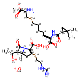 CC1(C)C[C@@H]1C(=O)N/C(=C\CCCCSC[C@H](N)C(=O)[O-])C(=O)O.C[C@@H](O)[C@H]1C(=O)N2C(C(=O)O)=C(SCCNC=N)C[C@H]12.O.[Na+]